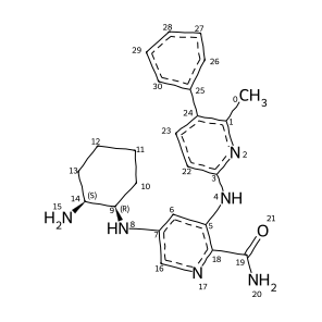 Cc1nc(Nc2cc(N[C@@H]3CCCC[C@@H]3N)cnc2C(N)=O)ccc1-c1ccccc1